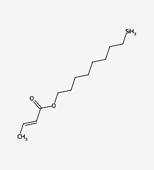 CC=CC(=O)OCCCCCCCC[SiH3]